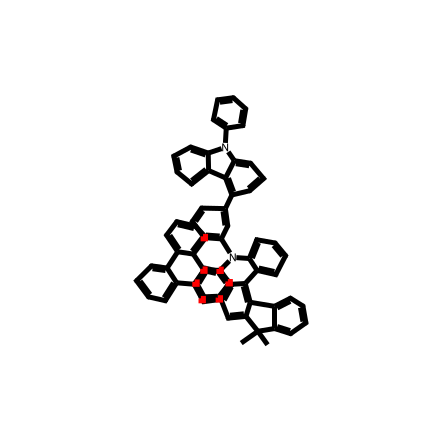 CC1(C)c2ccccc2-c2c(-c3ccccc3N(c3cccc(-c4cccc5c4c4ccccc4n5-c4ccccc4)c3)c3ccccc3-c3ccccc3-c3ccccc3-c3ccccc3)cccc21